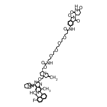 C#Cc1c(F)ccc2cccc(-c3ncc4c(N5CC6CCC(C5)N6)nc(OCC56CC[C@@H](COC(=O)NCCOCCOCCOCCOCCC(=O)Nc7ccc8c(c7)C(=O)N(C7CCC(=O)NC7=O)C8=O)N5CC(=C)C6)nc4c3C)c12